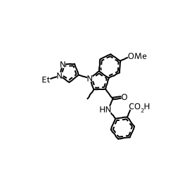 CCn1cc(-n2c(C)c(C(=O)Nc3ccccc3C(=O)O)c3cc(OC)ccc32)cn1